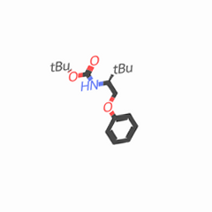 CC(C)(C)OC(=O)N[C@H](COc1ccccc1)C(C)(C)C